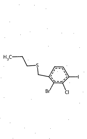 CCCSCc1ccc(I)c(Cl)c1Br